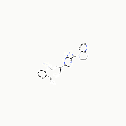 C=Cc1ccccc1[C@@H](N)CC/C(=C\C)c1cnc2c(N3CCCc4ncccc43)n[nH]c2n1